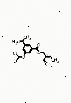 C=C/C(=C\C)CNC(=O)c1cc(OC(CC)CC)cc(C(=C)C)c1